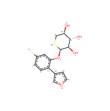 O[C@@H]1[C@@H](O)[C@@H](Oc2cc(F)ccc2-c2ccoc2)SC[C@H]1O